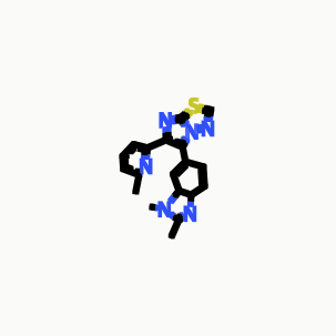 CC1=NC2C=CC(c3c(-c4cccc(C)n4)nc4scnn34)=CC2N1C